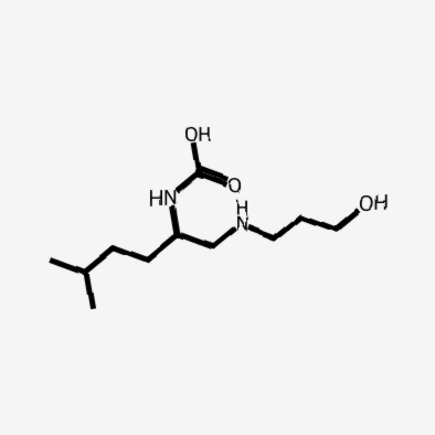 CC(C)CCC(CNCCCO)NC(=O)O